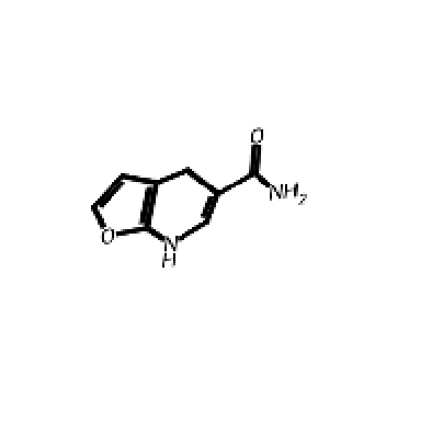 NC(=O)C1=CNc2occc2C1